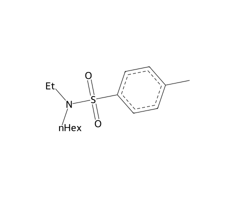 CCCCCCN(CC)S(=O)(=O)c1ccc(C)cc1